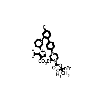 CCCC(C)(C)OC(=O)N1CCN(c2ccc(-c3ccc(Cl)cc3N3CCCC(n4ncc(C(=O)OCC)c4C(F)F)C3)cc2)CC1